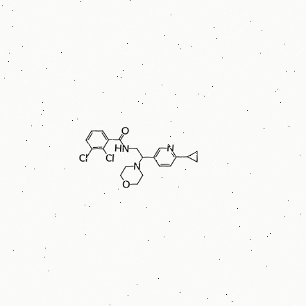 O=C(NCC(c1ccc(C2CC2)nc1)N1CCOCC1)c1cccc(Cl)c1Cl